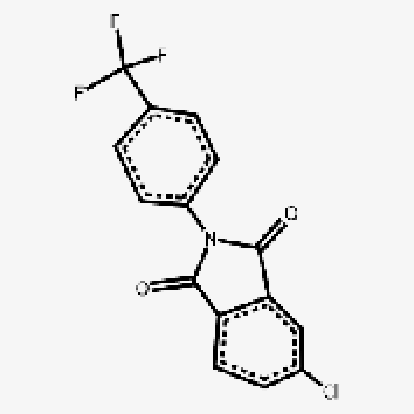 O=C1c2ccc(Cl)cc2C(=O)N1c1ccc(C(F)(F)F)cc1